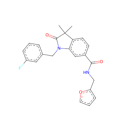 CC1(C)C(=O)N(Cc2cccc(F)c2)c2cc(C(=O)NCc3ccco3)ccc21